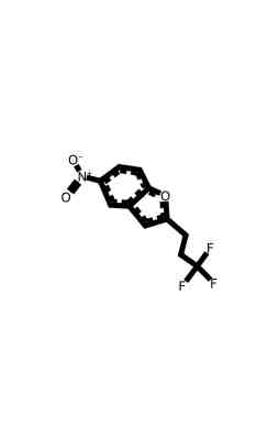 O=[N+]([O-])c1ccc2oc(CCC(F)(F)F)cc2c1